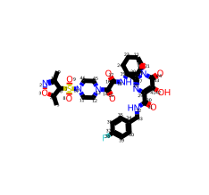 CC1=NOC(C)C1S(=O)(=O)N1CCN(C(=O)C(=O)NC23CCC(CC2)Cn2c3nc(C(=O)NCc3ccc(F)cc3)c(O)c2=O)CC1